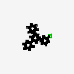 Clc1cccc(-c2cc(-c3ccccc3)cc(-c3ccccc3)c2)c1